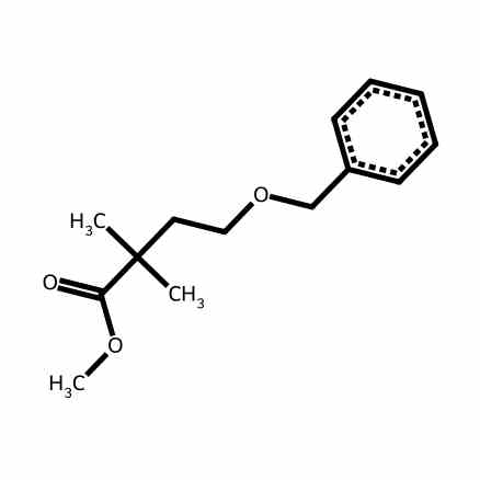 COC(=O)C(C)(C)CCOCc1ccccc1